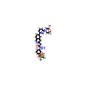 C[C@@H]1CN(c2cccc(-c3ccc4cnc(CC(=O)Nc5cccc(S(=O)(=O)C(F)F)c5)cc4c3)n2)C[C@H](C)O1